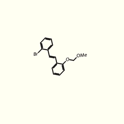 COCOc1ccccc1C=Cc1ccccc1Br